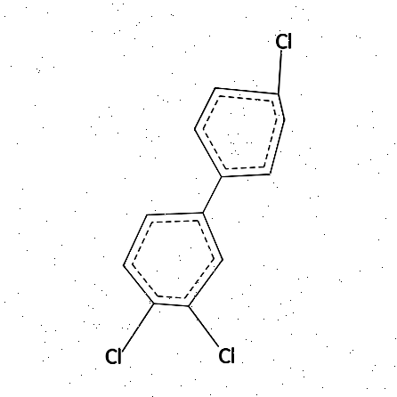 Clc1ccc(-c2ccc(Cl)c(Cl)c2)cc1